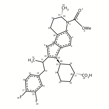 COC(=O)N1c2ccc3c(nc(C(C)Cc4ccc(F)c(F)c4)n3[C@@H]3CCC[C@@H](C(=O)O)C3)c2CC[C@@H]1C